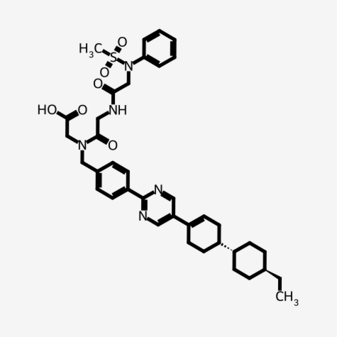 CC[C@H]1CC[C@H](C2CC=C(c3cnc(-c4ccc(CN(CC(=O)O)C(=O)CNC(=O)CN(c5ccccc5)S(C)(=O)=O)cc4)nc3)CC2)CC1